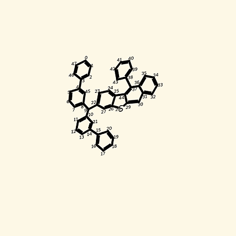 c1ccc(-c2cccc(C(c3cccc(-c4ccccc4)c3)c3ccc4c(c3)sc3cc5ccccc5c(-c5ccccc5)c34)c2)cc1